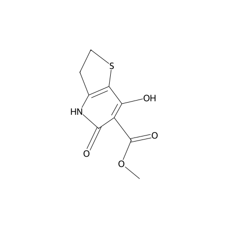 COC(=O)c1c(O)c2c([nH]c1=O)CCS2